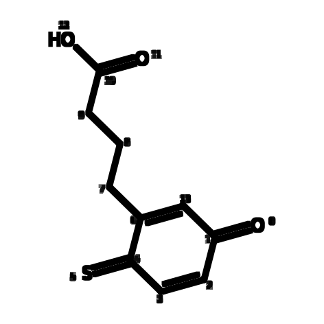 O=C1C=CC(=S)C(CCCC(=O)O)=C1